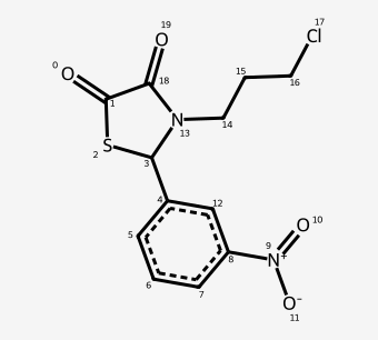 O=C1SC(c2cccc([N+](=O)[O-])c2)N(CCCCl)C1=O